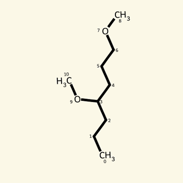 CCCC(CCCOC)OC